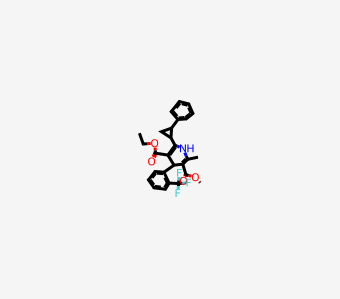 CCOC(=O)C1=C(C2CC2c2ccccc2)NC(C)=C(C(=O)OC)C1c1ccccc1C(F)(F)F